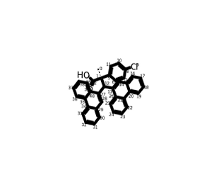 C[C@](C(=O)O)(c1ccc(Cl)cc1)C(c1cc2ccccc2c2ccccc12)c1cc2ccccc2c2ccccc12